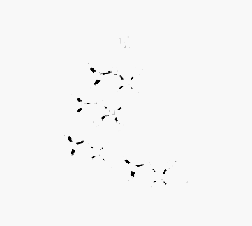 O=P(=O)O[Si]([O-])([O-])[O-].O=P(=O)O[Si]([O-])([O-])[O-].O=P(=O)O[Si]([O-])([O-])[O-].O=P(=O)O[Si]([O-])([O-])[O-].[Ti+4].[Ti+4].[Ti+4]